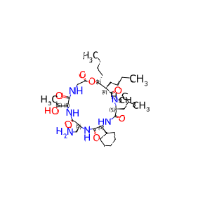 CCCC[C@H]1OC(=O)CNC(=O)[C@H]([C@H](C)O)NC(=O)[C@H](CN)NC(=O)[C@H](C2CCCCC2)NC(=O)[C@H](CC(C)C)N(C)C(=O)[C@@H]1CCCC